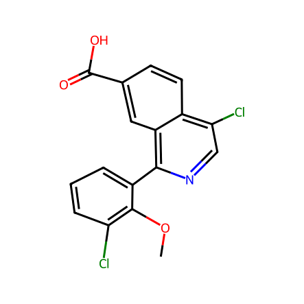 COc1c(Cl)cccc1-c1ncc(Cl)c2ccc(C(=O)O)cc12